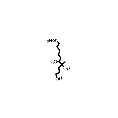 CCCCCCCCCCCCCCC(O)C(C)(O)CCCO